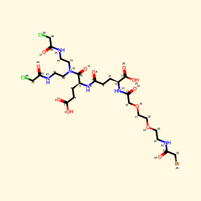 O=C(O)CC[C@H](NC(=O)CC[C@H](NC(=O)COCCOCCNC(=O)CBr)C(=O)O)C(=O)N(CCNC(=O)CCl)CCNC(=O)CCl